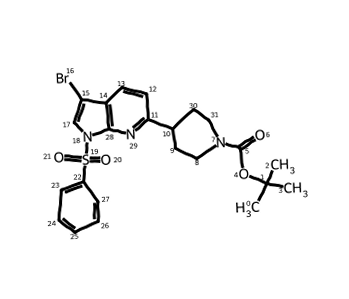 CC(C)(C)OC(=O)N1CCC(c2ccc3c(Br)cn(S(=O)(=O)c4ccccc4)c3n2)CC1